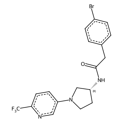 O=C(Cc1ccc(Br)cc1)N[C@@H]1CCN(c2ccc(C(F)(F)F)nc2)C1